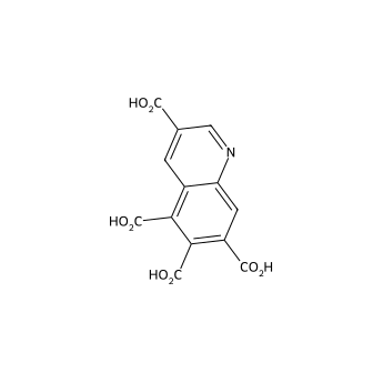 O=C(O)c1cnc2cc(C(=O)O)c(C(=O)O)c(C(=O)O)c2c1